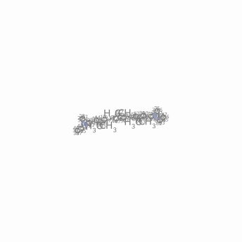 CC1(C)c2cc(/C=C/c3ccc4c(c3)C(C)(C)c3cc(-c5ccc6c(c5)c5ccccc5n6-c5ccc6ccccc6c5)ccc3-4)ccc2-c2ccc(/C=C/c3ccc4c(c3)C(C)(C)c3cc(-c5ccc6c(c5)c5ccccc5n6-c5cccc6ccccc56)ccc3-4)cc21